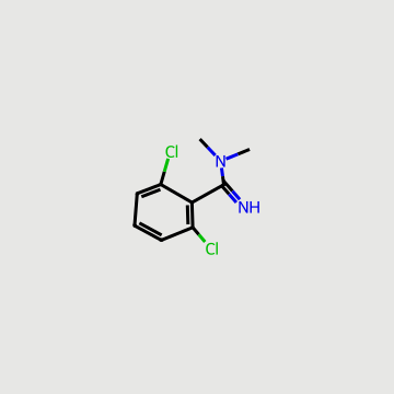 CN(C)C(=N)c1c(Cl)cccc1Cl